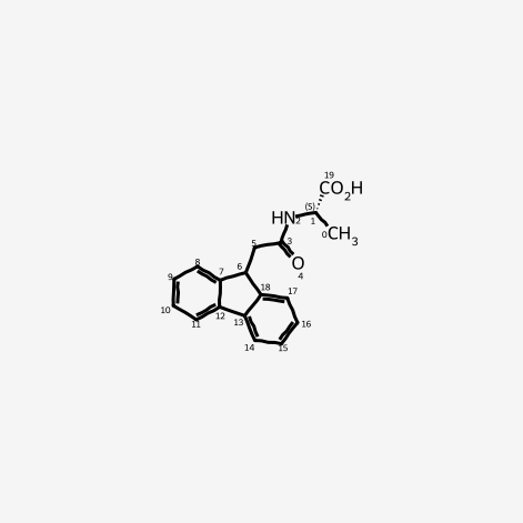 C[C@H](NC(=O)CC1c2ccccc2-c2ccccc21)C(=O)O